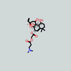 C=C[C@@]1(C)CC(=O)[C@@]2(O)[C@](C)(O1)[C@@H](OC(=O)COC(=O)CCN(C)C)C=C1C(C)(C)CC[C@H](O)[C@@]12C